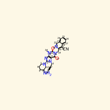 CC#CCn1c(N2CCCC(N)C2)nc2c1c(=O)n(Cc1ncc3ccccc3c1C#N)c(=O)n2C